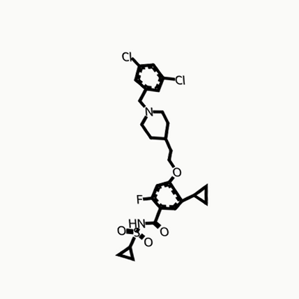 O=C(NS(=O)(=O)C1CC1)c1cc(C2CC2)c(OCCC2CCN(Cc3cc(Cl)cc(Cl)c3)CC2)cc1F